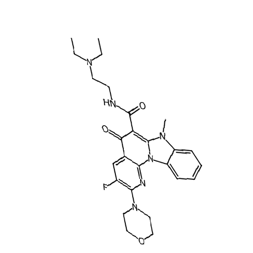 CCN(CC)CCNC(=O)c1c(=O)c2cc(F)c(N3CCOCC3)nc2n2c3ccccc3n(C)c12